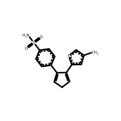 Cc1csc(C2=CCC=C2c2ccc(S(N)(=O)=O)cc2)c1